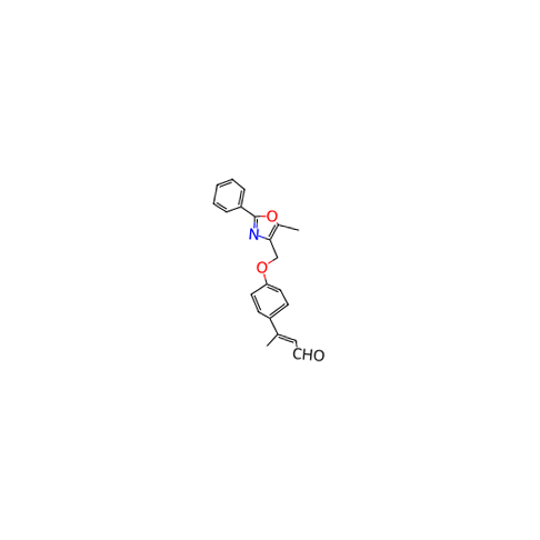 CC(=CC=O)c1ccc(OCc2nc(-c3ccccc3)oc2C)cc1